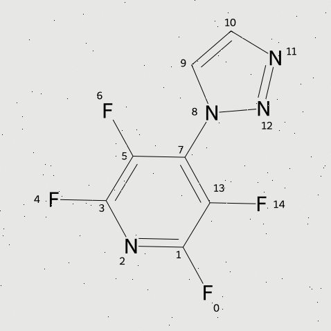 Fc1nc(F)c(F)c(-n2ccnn2)c1F